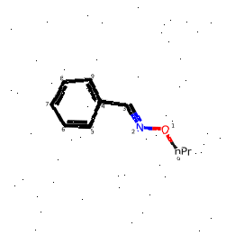 CCCO/N=C/c1[c]cccc1